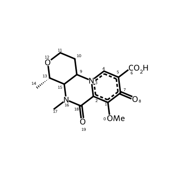 COc1c2n(cc(C(=O)O)c1=O)C1CCO[C@@H](C)C1N(C)C2=O